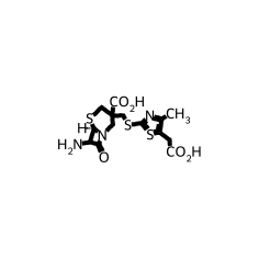 Cc1nc(SCC2(C(=O)O)CS[C@@H]3C(N)C(=O)N3C2)sc1CC(=O)O